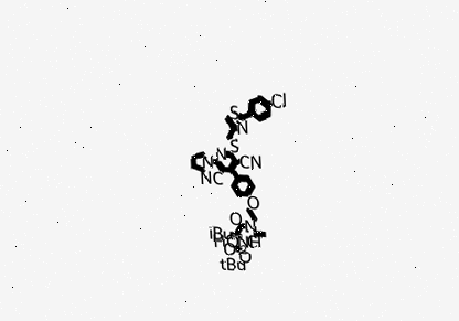 CCC(C)[C@H](NC(=O)OC(C)(C)C)C(=O)N(CCOc1ccc(-c2c(C#N)c(SCc3csc(-c4ccc(Cl)cc4)n3)nc(N3CCCC3)c2C#N)cc1)[C@@H](C)C(=O)O